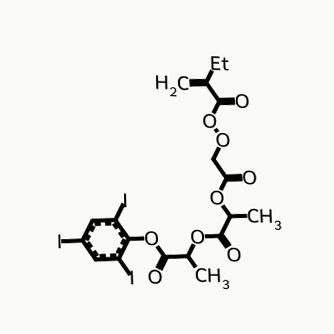 C=C(CC)C(=O)OOCC(=O)OC(C)C(=O)OC(C)C(=O)Oc1c(I)cc(I)cc1I